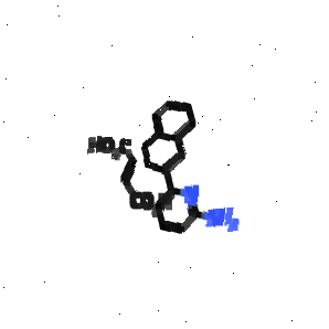 Nc1cccc(C2=Cc3ccccc3CC2)n1.O=C(O)C=CC(=O)O